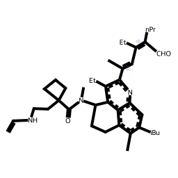 C=CNCCC1(C(=O)N(C)C2CCc3c(C)c(C(C)CC)cc4nc(/C(C)=C/C(CC)=C(\C=O)CCC)c(CC)c2c34)CCC1